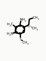 CC[C@H](C)c1cc(SC)c(N)c(C)c1N